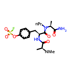 CCCN(C(=O)[C@H](Cc1ccc(OS(=O)(=O)F)cc1)NC(=O)[C@H](C)NC)[C@@H](C)C(N)=O